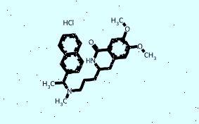 COc1cc2c(cc1OC)C(=O)NC(CCCN(C)C(C)c1ccc3ccccc3c1)C2.Cl